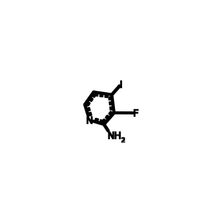 Nc1nccc(I)c1F